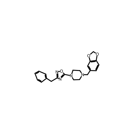 c1ccc(Cc2noc(N3CCN(Cc4ccc5c(c4)OCO5)CC3)n2)cc1